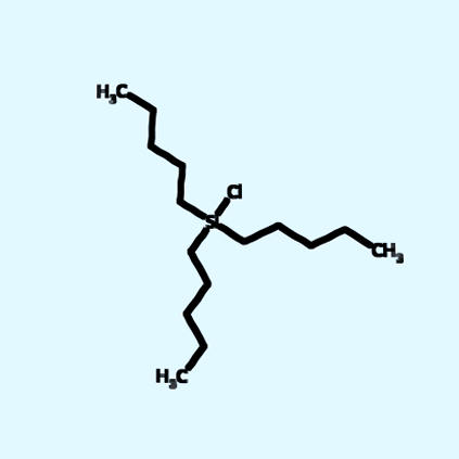 CCCCC[Si](Cl)(CCCCC)CCCCC